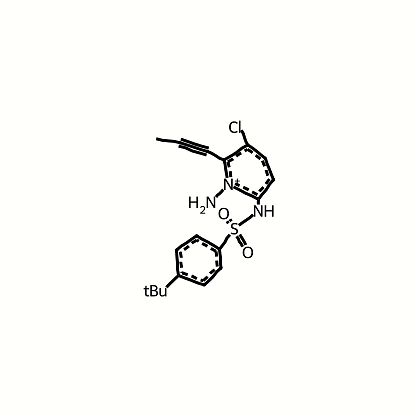 CC#Cc1c(Cl)ccc(NS(=O)(=O)c2ccc(C(C)(C)C)cc2)[n+]1N